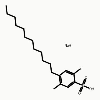 CCCCCCCCCCCCc1cc(C)c(S(=O)(=O)O)cc1C.[NaH]